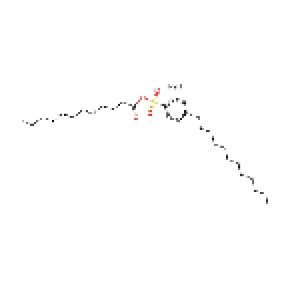 CCCCCCCCCCCCc1ccc(S(=O)(=O)OC(=O)CCCCCCCCCCC)cc1.[NaH]